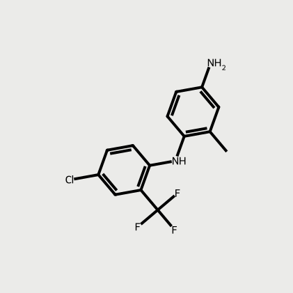 Cc1cc(N)ccc1Nc1ccc(Cl)cc1C(F)(F)F